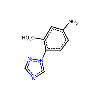 O=C(O)c1cc([N+](=O)[O-])ccc1-n1cncn1